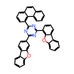 c1ccc2c(c1)ccc1cccc(-c3nc(-c4ccc5c(c4)oc4ccccc45)nc(-c4cccc5c4oc4ccccc45)n3)c12